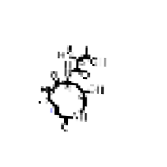 CN[C@H](C(=O)N[C@H]1C[C@@H](O)CCNC(=O)/C=C/[C@H](C)NC1=O)[C@@H](C)O